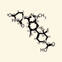 Cn1nc(N2CCC(=O)NC2=O)c2cc(F)c(C3=CCN(C(=O)O)CC3(F)F)cc21